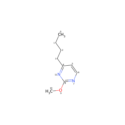 CCCCc1ccnc(OC)n1